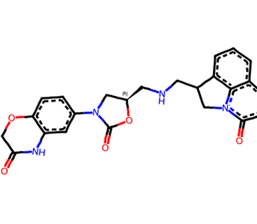 O=C1COc2ccc(N3C[C@@H](CNCC4Cn5c(=O)ccc6cccc4c65)OC3=O)cc2N1